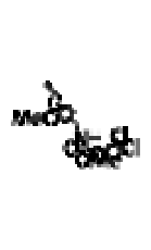 C#CCOc1ccc(CCNC(=O)[C@H](COc2ccc(Cl)c(Cl)c2)OC)cc1OC